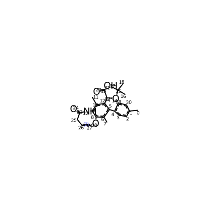 Cc1ccc(-c2c(C)c3c(c(C)c2[C@H](OC(C)(C)C)C(=O)O)NC(=O)C/C=C\O3)cc1